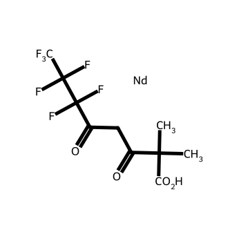 CC(C)(C(=O)O)C(=O)CC(=O)C(F)(F)C(F)(F)C(F)(F)F.[Nd]